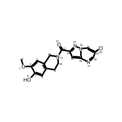 COc1cc2c(cc1O)CCN(C(=O)c1cc3ncc(Cl)cn3n1)C2